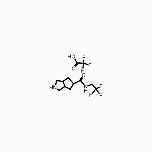 O=C(NCC(F)(F)F)C1CC2CNCC2C1.O=C(O)C(F)(F)F